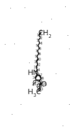 C=CCCCCCCCCC=CCCCNc1ccc(C(=O)OCC)c(F)c1